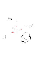 C1=Cc2cccc(c2)C1.CCO[SiH](OCC)OCC